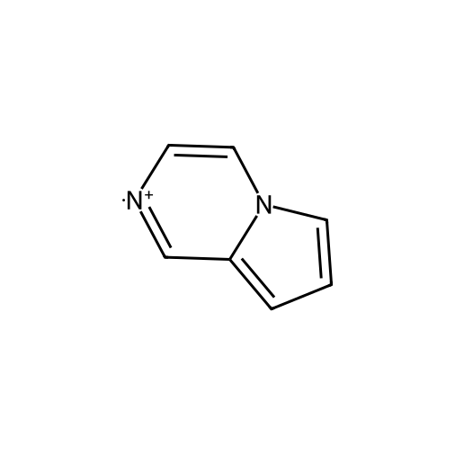 C1=Cn2cccc2C=[N+]1